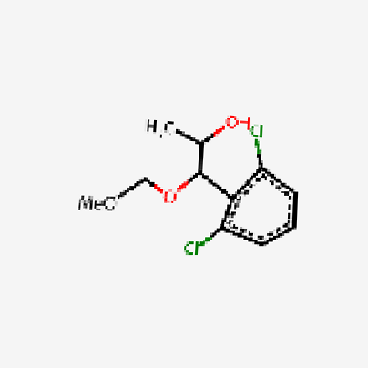 COCOC(c1c(Cl)cccc1Cl)C(C)O